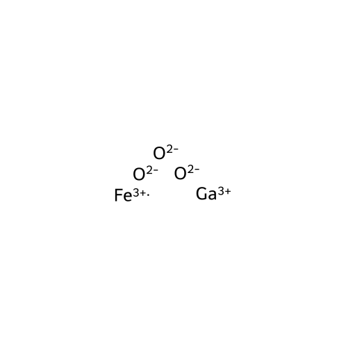 [Fe+3].[Ga+3].[O-2].[O-2].[O-2]